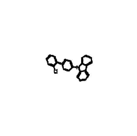 Clc1ccccc1-c1ccc(-n2c3ccccc3c3ccccc32)cc1